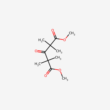 COC(=O)C(C)(C)C(=O)C(C)(C)C(=O)OC